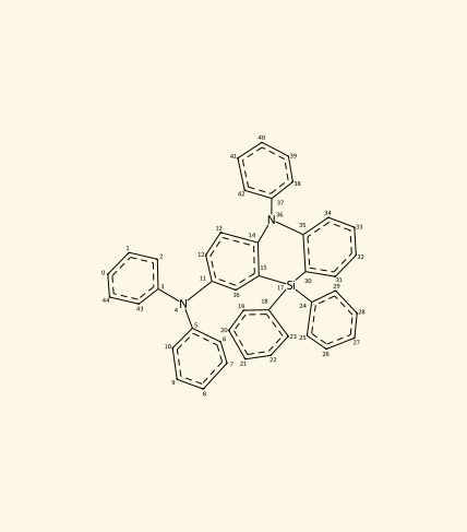 c1ccc(N(c2ccccc2)c2ccc3c(c2)[Si](c2ccccc2)(c2ccccc2)c2ccccc2N3c2ccccc2)cc1